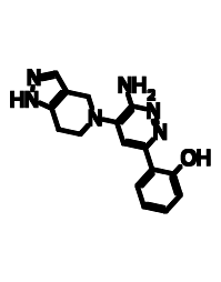 Nc1nnc(-c2ccccc2O)cc1N1CCc2[nH]ncc2C1